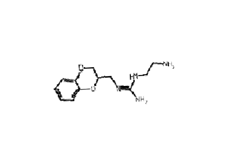 NCCNC(N)=NCC1COc2ccccc2O1